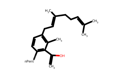 C=C(O)c1c(CCCCC)ccc(C/C=C(\C)CCC=C(C)C)c1C